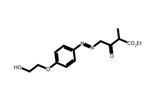 CCOC(=O)C(C)C(=O)CN=Nc1ccc(OCCO)cc1